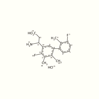 Cc1c(F)cccc1-c1cc(C(N)CC(=O)O)c(F)c(C)c1C.Cl